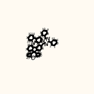 c1ccc(-c2nc(-c3ccccc3)nc(-c3ccc4c(c3)-c3c(-n5c6ccccc6c6ccccc65)cccc3C43c4ccccc4Oc4ccccc43)n2)cc1